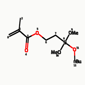 C=C(C)C(=O)OCC[Si](OC)(OC)OCCCC